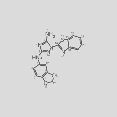 Nc1nc(Nc2ccc3c(c2)OCO3)nn1-c1nc2ccccc2s1